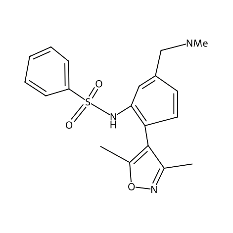 CNCc1ccc(-c2c(C)noc2C)c(NS(=O)(=O)c2ccccc2)c1